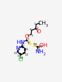 CCC(=O)CCOC(=S)Nc1ccc(Cl)cn1.NC(O)=S